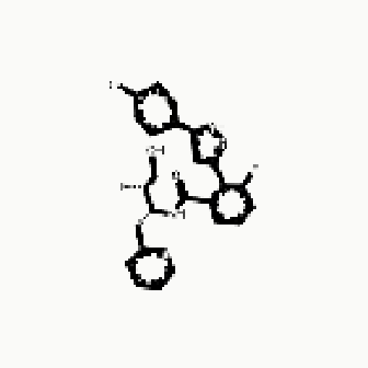 O=C(N[C@H](Cc1ccccn1)[C@H](F)CO)c1cccc(F)c1-c1cc(-c2ccc(Cl)cc2)[nH]n1